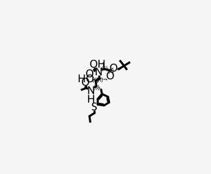 CCCSc1cccc(C[C@H](NC(C)=O)[C@H](O)[C@H]2CO[C@@H](OCC(C)(C)C)[C@H](C)N2C(=O)O)c1